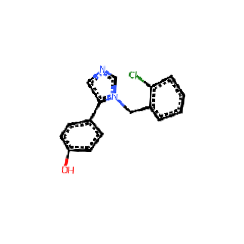 Oc1ccc(-c2cncn2Cc2ccccc2Cl)cc1